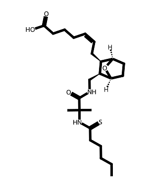 CCCCCC(=S)NC(C)(C)C(=O)NC[C@H]1[C@@H](C/C=C\CCCC(=O)O)[C@H]2CC[C@@H]1O2